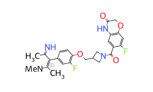 CN/C(C)=C(\C(C)=N)c1ccc(OCC2CN(C(=O)c3cc4c(cc3F)OCC(=O)N4)C2)c(F)c1